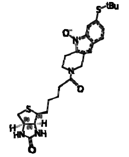 CC(C)(C)Sc1ccc2cc3c([n+]([O-])c2c1)CCN(C(=O)CCCC[C@@H]1SC[C@@H]2NC(=O)N[C@@H]21)C3